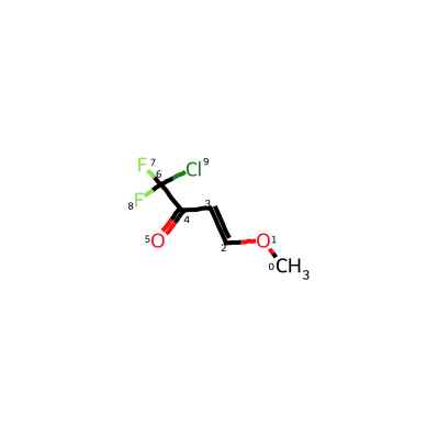 CO/C=C/C(=O)C(F)(F)Cl